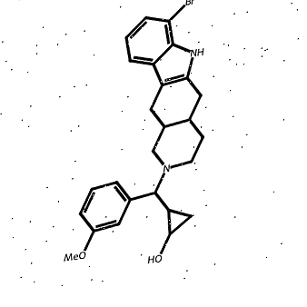 COc1cccc(C(C2CC2O)N2CCC3Cc4[nH]c5c(Br)cccc5c4CC3C2)c1